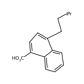 CC(C)CCc1ccc(C(=O)O)c2ccccc12